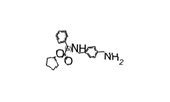 NCc1ccc(CN[C@H](C(=O)OC2CCCC2)c2ccccc2)cc1